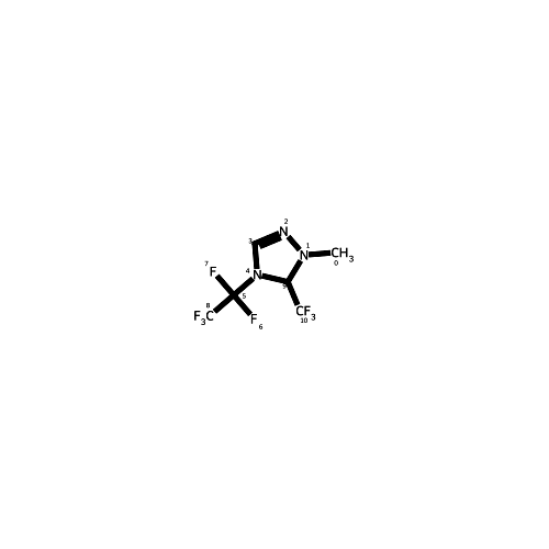 CN1N=CN(C(F)(F)C(F)(F)F)C1C(F)(F)F